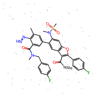 CNC(=O)c1c(-c2ccc(F)cc2)oc2cc(N(C)S(C)(=O)=O)c(-c3cc(C)c(N=N)c(C(=O)N(C)Cc4ccc(F)cc4)c3)cc12